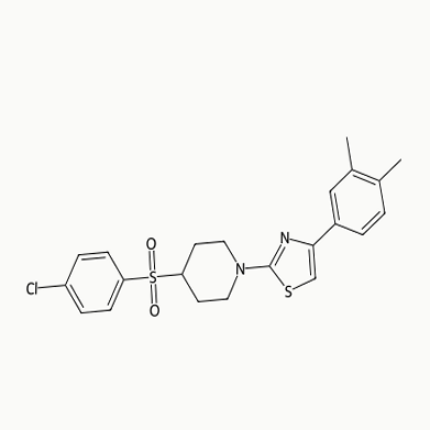 Cc1ccc(-c2csc(N3CCC(S(=O)(=O)c4ccc(Cl)cc4)CC3)n2)cc1C